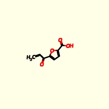 C=CC(=O)c1ccc(C(=O)O)o1